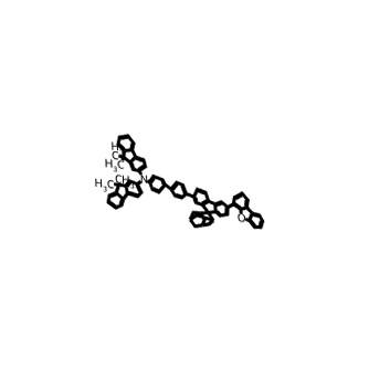 CC1(C)c2ccccc2-c2ccc(N(c3ccc(-c4ccc(-c5ccc6c(c5)C5(c7ccc(-c8cccc9c8oc8ccccc89)cc7-6)C6CC7CC(C6)CC5C7)cc4)cc3)c3ccc4c(c3)C(C)(C)c3ccccc3-4)cc21